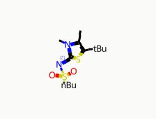 CCCCS(=O)(=O)/N=c1\sc(C(C)(C)C)c(C)n1C